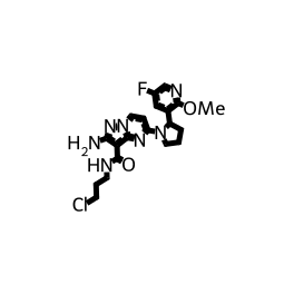 COc1ncc(F)cc1C1CCCN1c1ccn2nc(N)c(C(=O)NCCCCl)c2n1